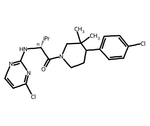 CC(C)[C@@H](Nc1nccc(Cl)n1)C(=O)N1CCC(c2ccc(Cl)cc2)C(C)(C)C1